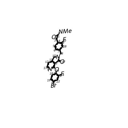 CNC1OC1c1ccc(CN2Cc3ccnc(Oc4ccc(Br)cc4F)c3C2=O)cc1F